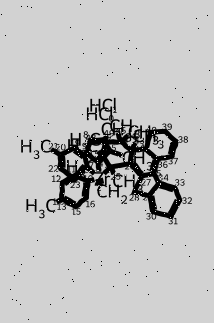 Cl.Cl.[CH2]=[Zr]([C]1=C(C)C=CC1)([c]1ccc(C)cc1)([c]1ccc(C)cc1)[C]1(C)C2=C3Cc4ccccc4C3=C3C=CCCC3C2(C)C(C)(C)C(C)(C)C1(C)C